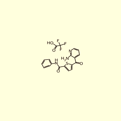 Nc1ncccc1C(=O)c1ccc(C(=O)Nc2ccccc2)s1.O=C(O)C(F)(F)F